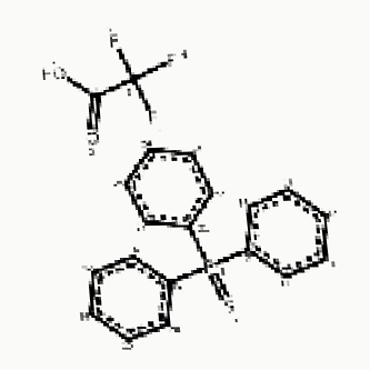 O=C(O)C(F)(F)F.S=P(c1ccccc1)(c1ccccc1)c1ccccc1